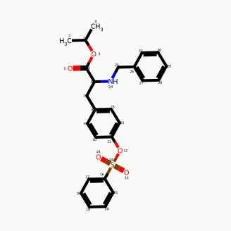 CC(C)OC(=O)C(Cc1ccc(OS(=O)(=O)c2ccccc2)cc1)NCc1ccccc1